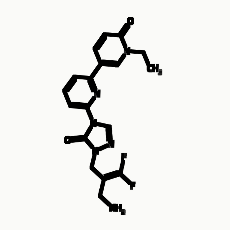 CCn1cc(-c2cccc(-n3cnn(CC(CN)=C(F)F)c3=O)n2)ccc1=O